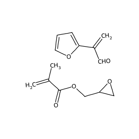 C=C(C)C(=O)OCC1CO1.C=C(C=O)c1ccco1